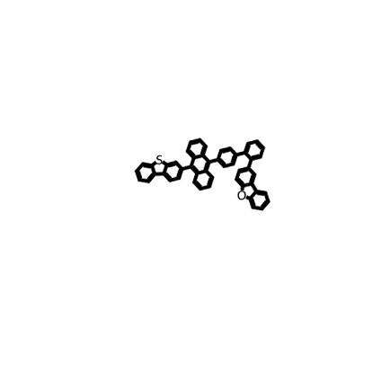 c1ccc(-c2ccc3oc4ccccc4c3c2)c(-c2ccc(-c3c4ccccc4c(-c4ccc5c(c4)sc4ccccc45)c4ccccc34)cc2)c1